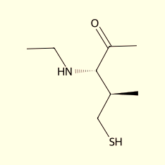 CCN[C@H](C(C)=O)[C@@H](C)CS